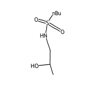 CCCCS(=O)(=O)NCC(C)O